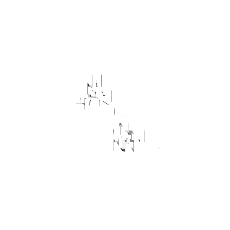 Cc1nc(N)c2nc(-c3cccc(C#C[C@@]4(O)C(=O)N(C)[C@@H]5C[C@@H]54)c3)ccc2n1